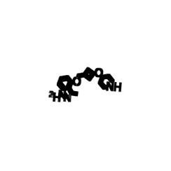 [2H]n1nc(C)c2c(OCC3CC(OC4CCNCC4)C3)cccc21